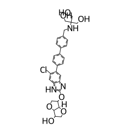 OCC(CO)(CO)NCc1ccc(-c2ccc(-c3cc4nc(O[C@@H]5COC6[C@H](O)CO[C@@H]65)[nH]c4cc3Cl)cc2)cc1